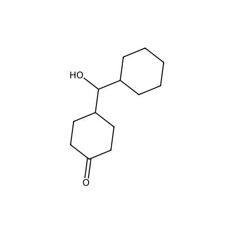 O=C1CCC(C(O)C2CCCCC2)CC1